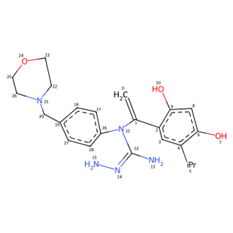 C=C(c1cc(C(C)C)c(O)cc1O)N(/C(N)=N\N)c1ccc(CN2CCOCC2)cc1